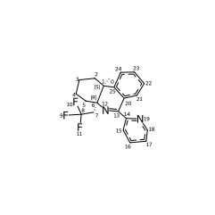 C[C@@]12CCCC[C@]1(CC(F)(F)F)N=C(c1ccccn1)c1ccccc12